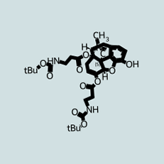 CN1CC[C@]23c4c5ccc(O)c4O[C@H]2C(OC(=O)CCNC(=O)OC(C)(C)C)=CC[C@@]3(OC(=O)CCNC(=O)OC(C)(C)C)[C@H]1C5